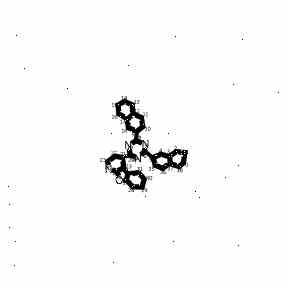 c1ccc2cc(-c3nc(-c4ccc5ccccc5c4)nc(-c4ccnc5oc6ccccc6c45)n3)ccc2c1